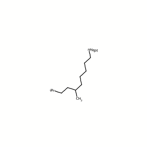 CCCCCCCCCCCCC(C)CC[C](C)C